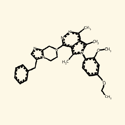 CCOc1ccc(-n2c(C)c3c(C)nnc(N4CCn5c(Cc6ccccc6)cnc5C4)c3c2C)c(OC)c1